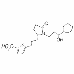 O=C(O)c1ccc(CCCC2CCC(=O)N2CCC(O)C2CCCCC2)s1